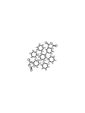 O=C1OC(=O)c2cc(-c3c(-c4ccccc4)c(-c4ccccc4)c(-c4ccc5c(c4)C(=O)OC5=O)c(-c4ccccc4)c3-c3ccccc3)ccc21